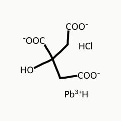 Cl.O=C([O-])CC(O)(CC(=O)[O-])C(=O)[O-].[PbH+3]